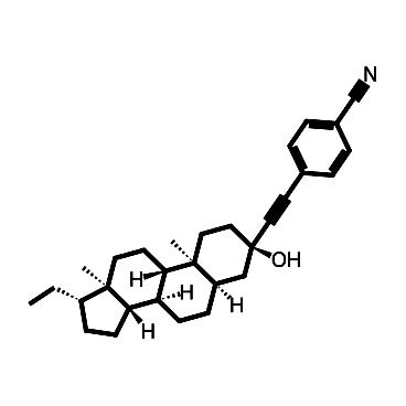 CC[C@H]1CC[C@H]2[C@@H]3CC[C@@H]4C[C@@](O)(C#Cc5ccc(C#N)cc5)CC[C@]4(C)[C@H]3CC[C@]12C